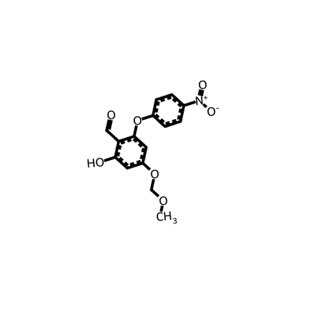 COCOc1cc(O)c(C=O)c(Oc2ccc([N+](=O)[O-])cc2)c1